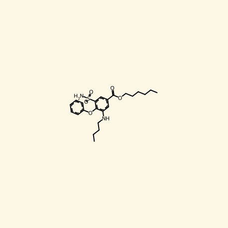 CCCCCCOC(=O)c1cc(NCCCC)c(Oc2ccccc2)c(S(N)(=O)=O)c1